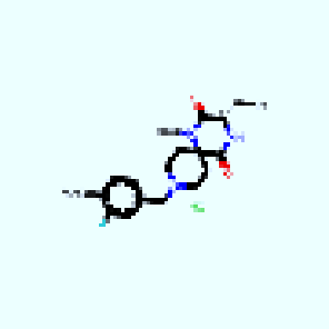 CCCCN1C(=O)[C@H](CC(C)C)NC(=O)C12CCN(Cc1ccc(OC)c(F)c1)CC2.Cl